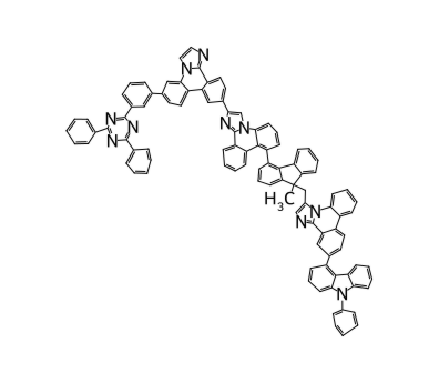 CC1(Cc2cnc3c4cc(-c5cccc6c5c5ccccc5n6-c5ccccc5)ccc4c4ccccc4n23)c2ccccc2-c2c(-c3cccc4c3c3ccccc3c3nc(-c5ccc6c(c5)c5ccc(-c7cccc(-c8nc(-c9ccccc9)nc(-c9ccccc9)n8)c7)cc5n5ccnc65)cn43)cccc21